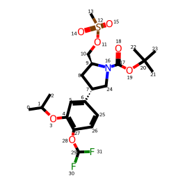 CC(C)Oc1cc([C@@H]2C[C@@H](COS(C)(=O)=O)N(C(=O)OC(C)(C)C)C2)ccc1OC(F)F